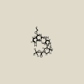 CCOc1nc(Nc2cnn(C3CN(C(=O)OC(C)(C)C)CCC3(F)F)c2C)nc2[nH]ccc12